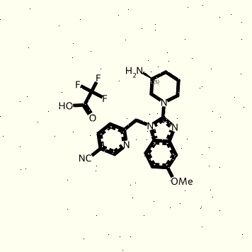 COc1ccc2c(c1)nc(N1CCC[C@H](N)C1)n2Cc1ccc(C#N)cn1.O=C(O)C(F)(F)F